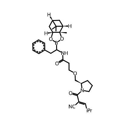 CC(C)C=C(C#N)C(=O)N1CCC[C@@H]1COCCC(=O)NC(Cc1ccccc1)B1O[C@@H]2C[C@@H]3C[C@@H](C3(C)C)[C@]2(C)O1